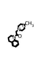 CN1CCN(CC(=O)N2CCCc3ccccc32)CC1